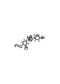 CC(C)Oc1ccc(-c2noc(-c3ccc(Br)nc3)n2)cc1Cl